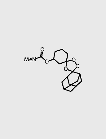 CNC(=O)OC1CCCC2(C1)OOC1(O2)C2CC3CC(C2)CC1C3